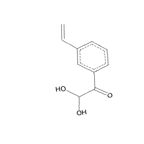 C=Cc1cccc(C(=O)C(O)O)c1